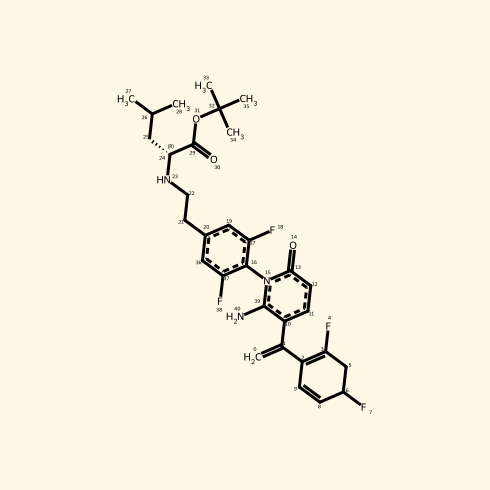 C=C(C1=C(F)CC(F)C=C1)c1ccc(=O)n(-c2c(F)cc(CCN[C@H](CC(C)C)C(=O)OC(C)(C)C)cc2F)c1N